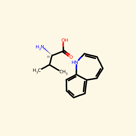 C1=CNc2ccccc2C=C1.CC(C)[C@H](N)C(=O)O